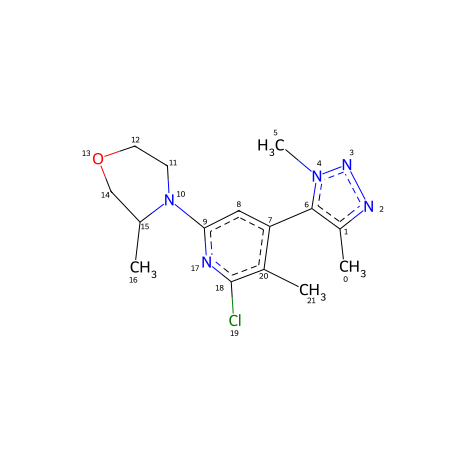 Cc1nnn(C)c1-c1cc(N2CCOCC2C)nc(Cl)c1C